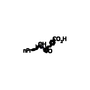 CCCC#CC[C@H](C)[C@H](O)/C=C/[C@H]1CCC(=O)N1CCc1ccc(C(=O)O)cc1